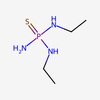 CCNP(N)(=S)NCC